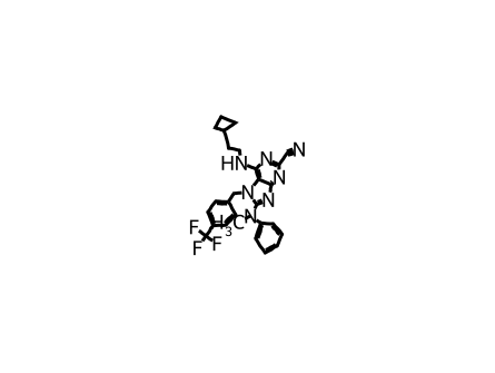 CN(c1ccccc1)c1nc2nc(C#N)nc(NCCC3CCC3)c2n1Cc1ccc(C(F)(F)F)cc1